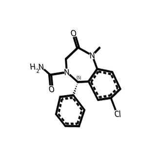 CN1C(=O)CN(C(N)=O)[C@@H](c2ccccc2)c2cc(Cl)ccc21